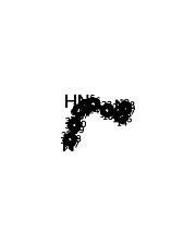 C1=CC2Nc3ccc(-c4ccc(-c5cccc6cccnc56)cc4)cc3N2C=C1c1ccc(-c2ccncc2)cc1